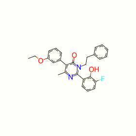 CCOc1cccc(-c2c(C)nc(-c3cccc(F)c3O)n(CCc3ccccc3)c2=O)c1